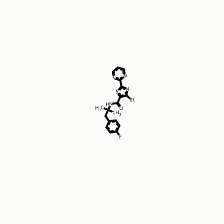 CCc1nc(-c2ncccn2)sc1C(=O)NC(C)(C)Cc1ccc(F)cc1